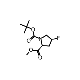 COC(=O)[C@@H]1C[C@H](F)CN1C(=O)OC(C)(C)C